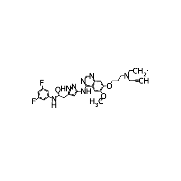 C#CCN(C[CH2])CCCOc1cc2ncnc(Nc3cc(CC(=O)Nc4cc(F)cc(F)c4)[nH]n3)c2cc1OC